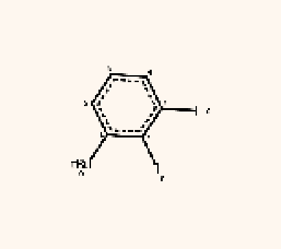 CC(C)(C)c1cccc(I)c1I